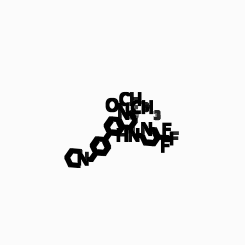 CC(=O)N1c2ccc(-c3ccc(CN4CCCCC4)cc3)cc2[C@@H](Nc2ccc(C(F)(F)F)cn2)C[C@H]1C